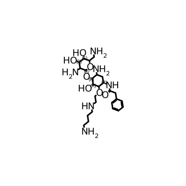 NCCCCNCCOC1[C@@H](O)[C@H](O[C@H]2OC(CN)[C@@H](O)[C@H](O)C2N)C(N)C[C@H]1NC(=O)Cc1ccccc1